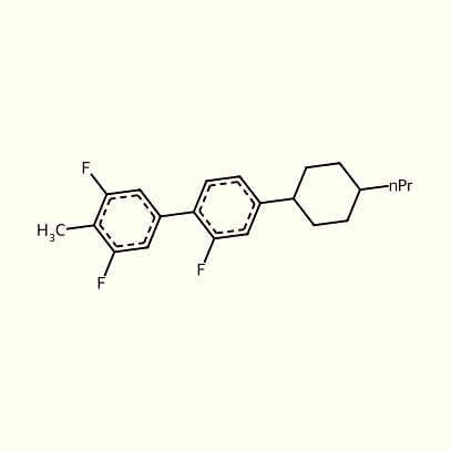 CCCC1CCC(c2ccc(-c3cc(F)c(C)c(F)c3)c(F)c2)CC1